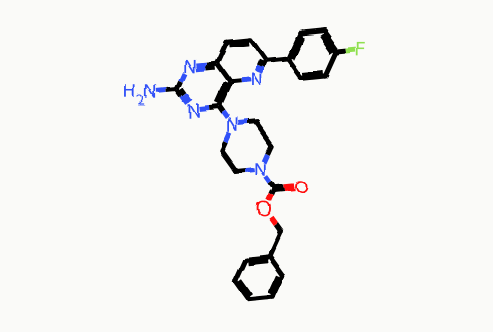 Nc1nc(N2CCN(C(=O)OCc3ccccc3)CC2)c2nc(-c3ccc(F)cc3)ccc2n1